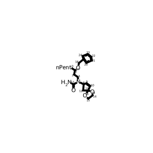 CCCCCC(CCN(C(N)=O)C1C=CC2(C1)OCCO2)OCc1ccccc1